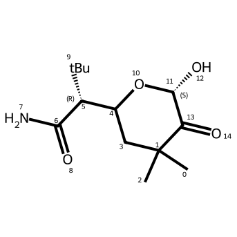 CC1(C)CC([C@H](C(N)=O)C(C)(C)C)O[C@H](O)C1=O